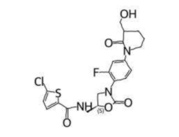 O=C(NC[C@H]1CN(c2ccc(N3CCCC(CO)C3=O)cc2F)C(=O)O1)c1ccc(Cl)s1